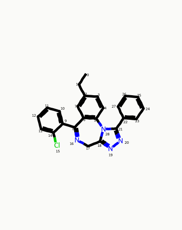 CCc1ccc2c(c1)C(c1ccccc1Cl)=NCc1nnc(-c3ccccc3)n1-2